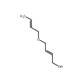 CC=CCOCC=CCO